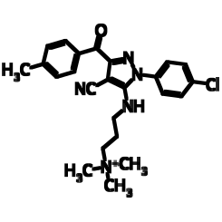 Cc1ccc(C(=O)c2nn(-c3ccc(Cl)cc3)c(NCCC[N+](C)(C)C)c2C#N)cc1